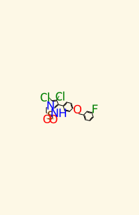 O=S1(=O)CCn2c(Cl)c(Cl)c(-c3ccc(OCc4cccc(F)c4)cc3)c2N1